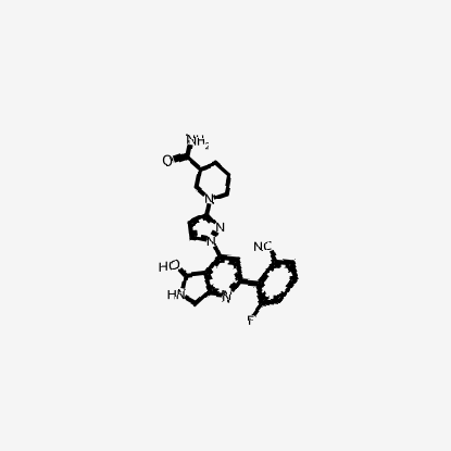 N#Cc1cccc(F)c1-c1cc(-n2ccc(N3CCCC(C(N)=O)C3)n2)c2c(n1)CNC2O